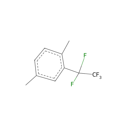 Cc1ccc(C)c(C(F)(F)C(F)(F)F)c1